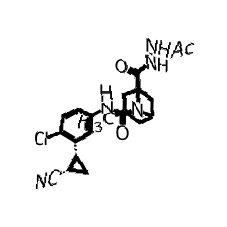 CC(=O)NNC(=O)C12CC(C)CC(C1)N2C(=O)Nc1ccc(Cl)c([C@@H]2C[C@@H]2C#N)c1